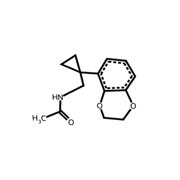 CC(=O)NCC1(c2cccc3c2OCCO3)CC1